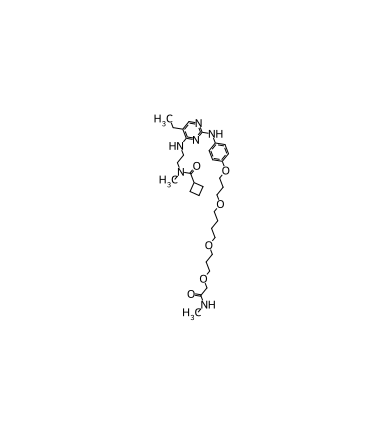 CCc1cnc(Nc2ccc(OCCCOCCCCOCCCOCC(=O)NC)cc2)nc1NCCN(C)C(=O)C1CCC1